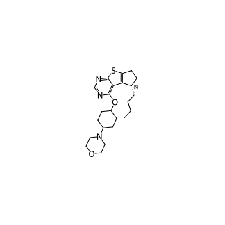 CCCC[C@H]1CCc2sc3ncnc(OC4CCC(N5CCOCC5)CC4)c3c21